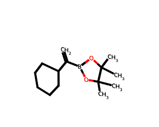 C=C(B1OC(C)(C)C(C)(C)O1)C1CCCCC1